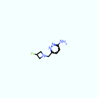 Nc1ccc(CN2CC(F)C2)nn1